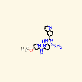 COc1ccnc(Nc2ccc(NN)c(NCc3ccc4ncccc4c3)n2)c1